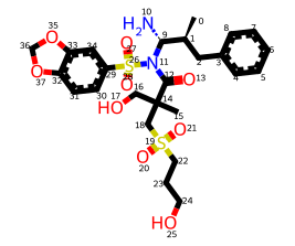 C[C@@H](Cc1ccccc1)[C@@H](N)N(C(=O)C(C)(CO)CS(=O)(=O)CCCO)S(=O)(=O)c1ccc2c(c1)OCO2